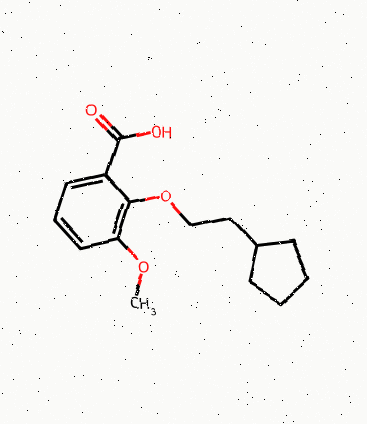 COc1cccc(C(=O)O)c1OCCC1CCCC1